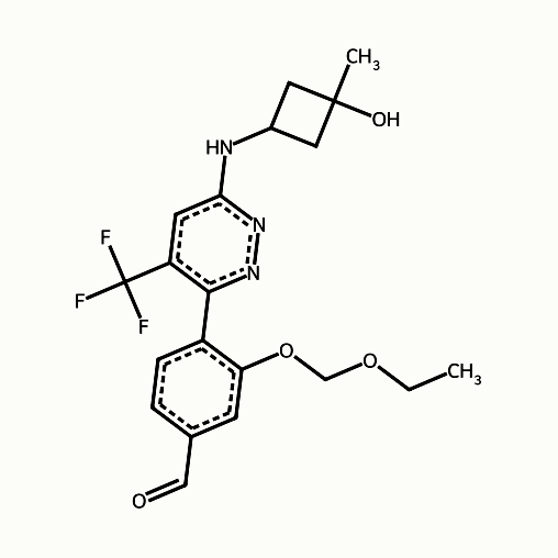 CCOCOc1cc(C=O)ccc1-c1nnc(NC2CC(C)(O)C2)cc1C(F)(F)F